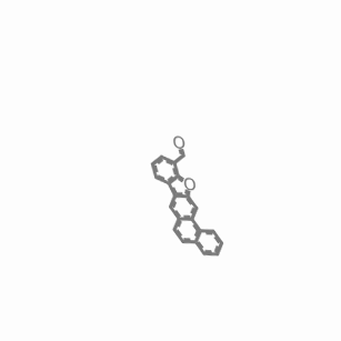 O=Cc1cccc2c1oc1cc3c(ccc4ccccc43)cc12